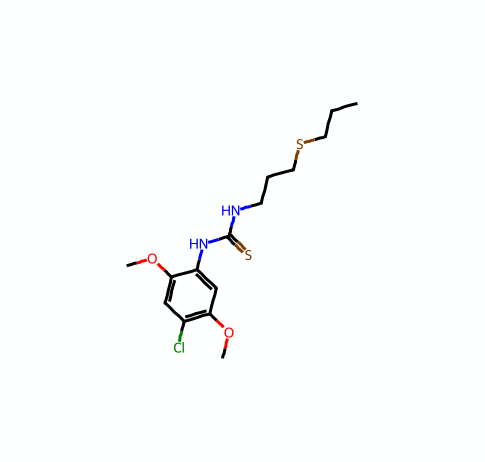 CCCSCCCNC(=S)Nc1cc(OC)c(Cl)cc1OC